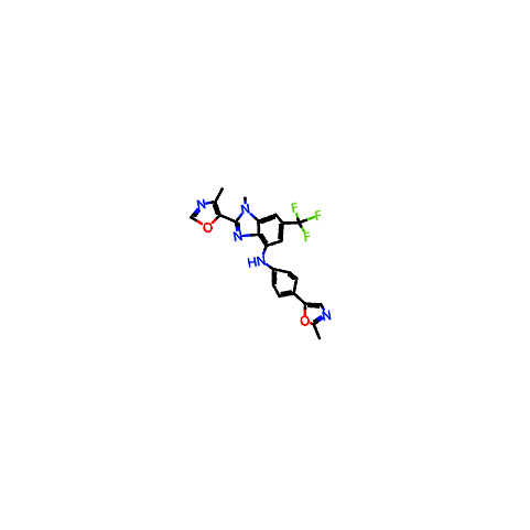 Cc1ncc(-c2ccc(Nc3cc(C(F)(F)F)cc4c3nc(-c3ocnc3C)n4C)cc2)o1